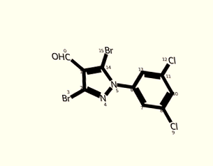 O=Cc1c(Br)nn(-c2cc(Cl)cc(Cl)c2)c1Br